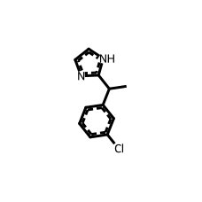 CC(c1cccc(Cl)c1)c1ncc[nH]1